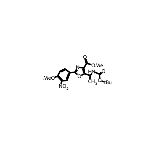 COC(=O)c1nc(-c2ccc(OC)c([N+](=O)[O-])c2)oc1C(C)NC(=O)OC(C)(C)C